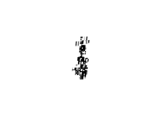 CC(=O)Nc1ccc2oc(-c3ccnc(C(=O)N4CCN(C(c5nnn(C(F)F)n5)(c5nccs5)C(F)F)CC4)c3)nc2c1